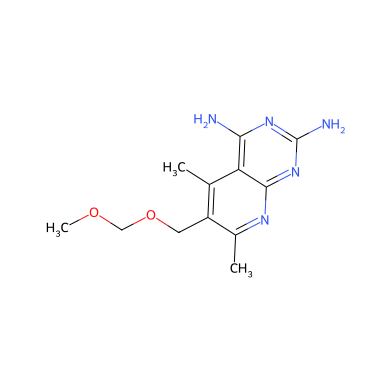 COCOCc1c(C)nc2nc(N)nc(N)c2c1C